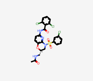 CC(=O)NC[C@H]1CN(S(=O)(=O)c2cccc(Cl)c2)c2nc(NC(=O)c3c(Cl)cccc3Cl)ccc2O1